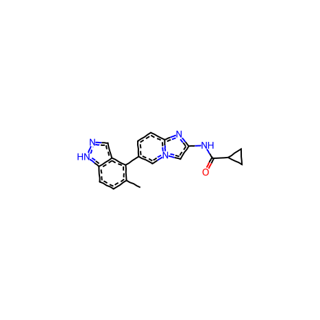 Cc1ccc2[nH]ncc2c1-c1ccc2nc(NC(=O)C3CC3)cn2c1